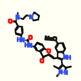 COc1ccc2[nH]c(-c3c(C)nn(C)c3C)c(C=C3Oc4ccc(NC(=O)Nc5ccc(C(=O)N(C)CCN6CCCC6)cc5)cc4C3=O)c2c1